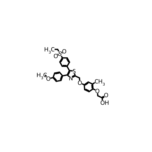 CCS(=O)(=O)c1ccc(-c2sc(COc3ccc(OCC(=O)O)c(C)c3)nc2-c2ccc(OC)cc2)cc1